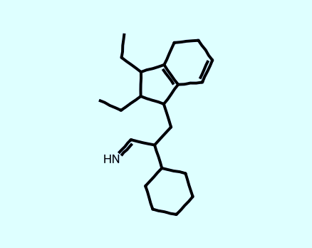 CCC1C2=C(C=CCC2)C(CC(C=N)C2CCCCC2)C1CC